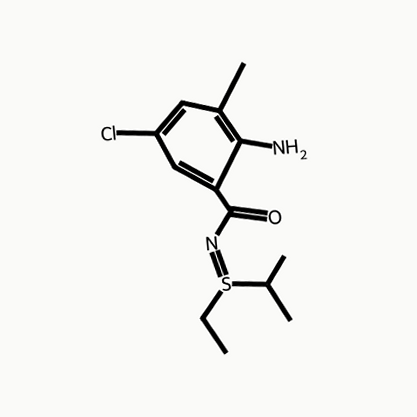 CCS(=NC(=O)c1cc(Cl)cc(C)c1N)C(C)C